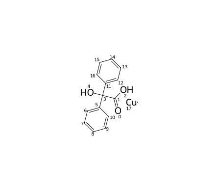 O=C(O)C(O)(c1ccccc1)c1ccccc1.[Cu]